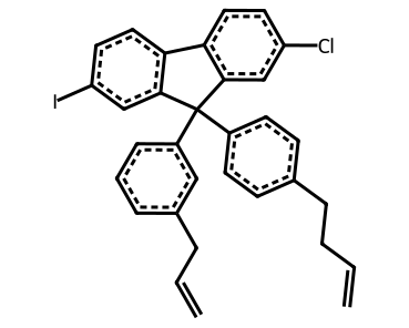 C=CCCc1ccc(C2(c3cccc(CC=C)c3)c3cc(Cl)ccc3-c3ccc(I)cc32)cc1